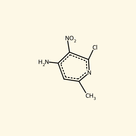 Cc1cc(N)c([N+](=O)[O-])c(Cl)n1